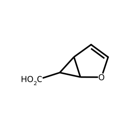 O=C(O)C1C2C=COC21